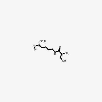 CC(C)N[C@@H](CCCCNC(=O)[C@H](C)CO)C(=O)O